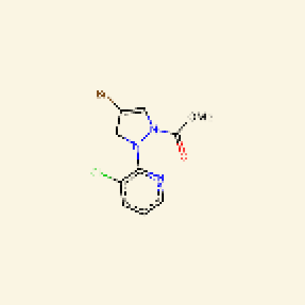 COC(=O)N1C=C(Br)CN1c1ncccc1Cl